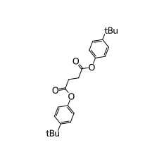 CC(C)(C)c1ccc(OC(=O)CCC(=O)Oc2ccc(C(C)(C)C)cc2)cc1